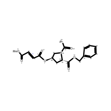 COC(=O)/C=C/C(=O)O[C@@H]1C[C@@H](C(=O)OCc2ccccc2)N(C(=O)C(C)C)C1